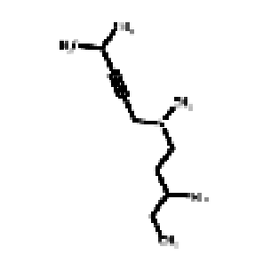 CCC(N)CCN(C)CC#CC(C)C